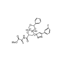 COC(=O)C(=S)NC(=O)C1C[C@@H](n2cc(-c3cccc(F)c3)nn2)[C@H]2OC(c3ccccc3)OC[C@H]2O1